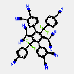 N#CC(C#N)=c1c(-c2ccc(C#N)c(C#N)c2)c(C(F)(F)c2ccc(C#N)cc2)c(=C(C#N)C#N)c(-c2ccc(C#N)c(C#N)c2)c1C(F)(F)c1ccc(C#N)cc1